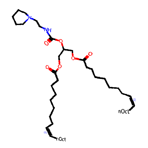 CCCCCCCC/C=C\CCCCCCCC(=O)OCC(COC(=O)CCCCCCC/C=C\CCCCCCCC)OC(=O)NCCN1CCCCC1